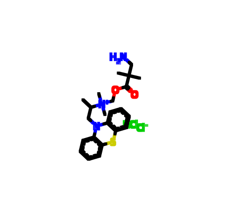 CC(CN1c2ccccc2Sc2ccccc21)[N+](C)(C)COC(=O)C(C)(C)CN.Cl.[Cl-]